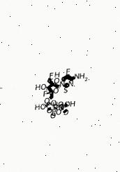 Nc1nc(=S)n([C@@H]2O[C@](F)(COP(=O)(O)OP(=O)(O)OP(=O)(O)O)[C@H](O)C2(O)CF)cc1F